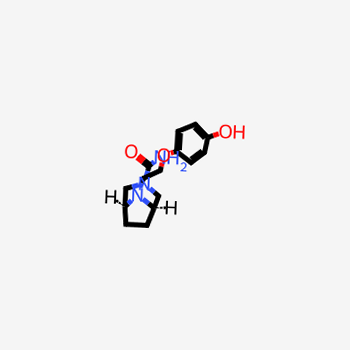 NC(=O)N1C[C@H]2CC[C@@H](C1)N2CCOc1ccc(O)cc1